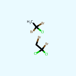 CC(Cl)(Br)Br.ClC(Cl)(Br)CBr